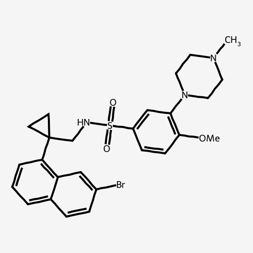 COc1ccc(S(=O)(=O)NCC2(c3cccc4ccc(Br)cc34)CC2)cc1N1CCN(C)CC1